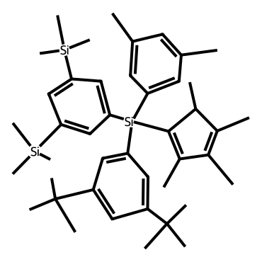 CC1=C(C)C(C)C([Si](c2cc(C)cc(C)c2)(c2cc(C(C)(C)C)cc(C(C)(C)C)c2)c2cc([Si](C)(C)C)cc([Si](C)(C)C)c2)=C1C